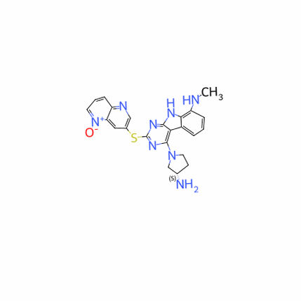 CNc1cccc2c1[nH]c1nc(Sc3cnc4ccc[n+]([O-])c4c3)nc(N3CC[C@H](N)C3)c12